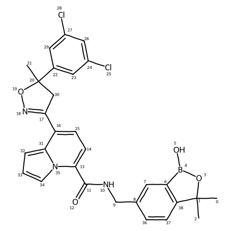 CC1(C)OB(O)c2cc(CNC(=O)c3ccc(C4=NOC(C)(c5cc(Cl)cc(Cl)c5)C4)c4cccn34)ccc21